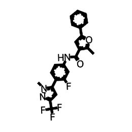 Cc1oc(-c2ccccc2)cc1C(=O)Nc1ccc(-c2cc(C(F)(F)F)nn2C)c(F)c1